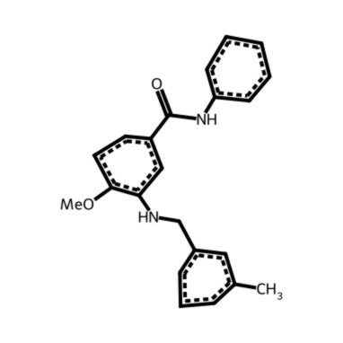 COc1ccc(C(=O)Nc2ccccc2)cc1NCc1cccc(C)c1